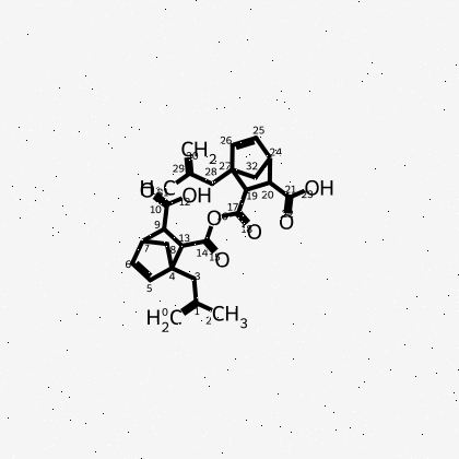 C=C(C)CC12C=CC(C1)C(C(=O)O)C2C(=O)OC(=O)C1C(C(=O)O)C2C=CC1(CC(=C)C)C2